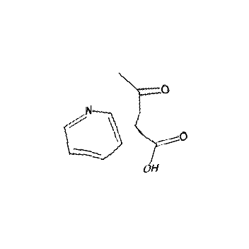 CC(=O)CC(=O)O.c1ccncc1